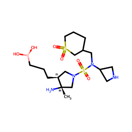 C[C@]1(N)CN(S(=O)(=O)N(CC2CCCS(=O)(=O)C2)C2CNC2)C[C@@H]1CCCB(O)O